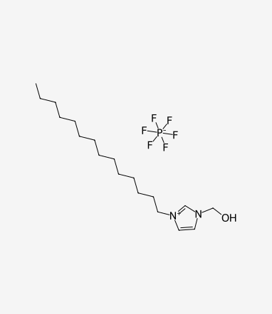 CCCCCCCCCCCCCC[n+]1ccn(CO)c1.F[P-](F)(F)(F)(F)F